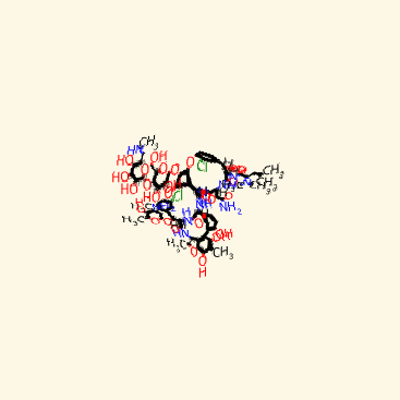 CNC[C@H]1O[C@@H](O[C@H]2[C@H](O)[C@@H](O)C(Oc3c4cc5cc3Oc3ccc(cc3Cl)[C@@H](OC3C[C@](C)(N)[C@@H](O)[C@H](C)O3)[C@@H]3NC(=O)[C@H](NC(=O)[C@@H]5NC(=O)[C@H](CC(N)=O)NC(=O)[C@H](NC(=O)[C@@H](CC(C)C)N(C)C)[C@H](O)c5ccc(c(Cl)c5)O4)c4ccc(O)c(c4)-c4c(cc(O)c(C)c4O)[C@H](C(C)=O)NC3=O)O[C@@H]2CO)[C@H](O)[C@@H](O)[C@H]1O